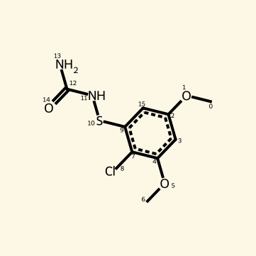 COc1cc(OC)c(Cl)c(SNC(N)=O)c1